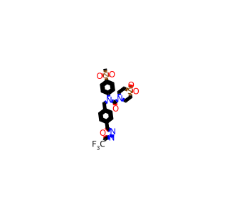 CS(=O)(=O)c1ccc(N(Cc2ccc(-c3nnc(C(F)(F)F)o3)cc2)C(=O)N2CCS(=O)(=O)CC2)cc1